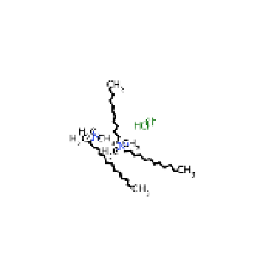 CCCCCCCCCCCCC(C)N(C)C.CCCCCCCCCCCC[N+](C)(C)CCCCCCCCCCCC.Cl.[Cl-]